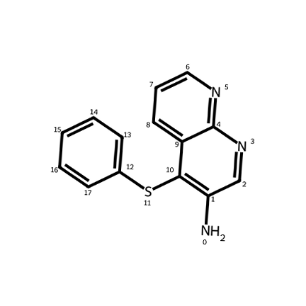 Nc1cnc2ncccc2c1Sc1ccccc1